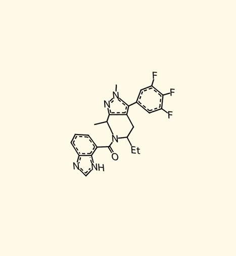 CCC1Cc2c(nn(C)c2-c2cc(F)c(F)c(F)c2)C(C)N1C(=O)c1cccc2nc[nH]c12